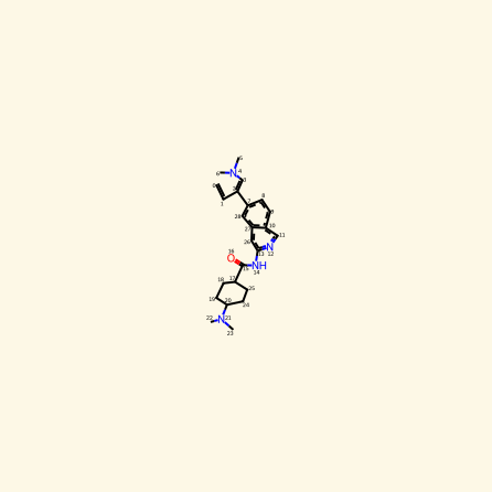 C=C/C(=C\N(C)C)c1ccc2cnc(NC(=O)C3CCC(N(C)C)CC3)cc2c1